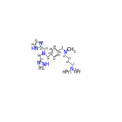 CCCN(CCC)CCCCN(C)Cc1ccc(CN(Cc2ncc[nH]2)Cc2ncc[nH]2)cc1